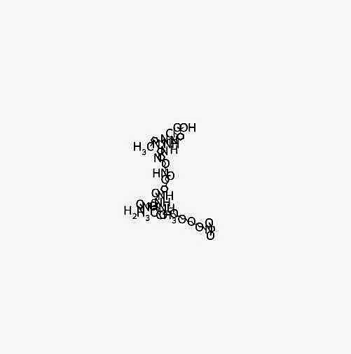 Cc1cccc(-c2nc(CNc3cccc(C(=O)O)c3Cl)[nH]c2-c2ccc3ncc(OCCNC(=O)OCc4ccc(NC(=O)C(CCCNC(N)=O)NC(=O)C(NC(=O)CCOCCOCCOCCOCCN5C(=O)C=CC5=O)C(C)C)cc4)cc3n2)n1